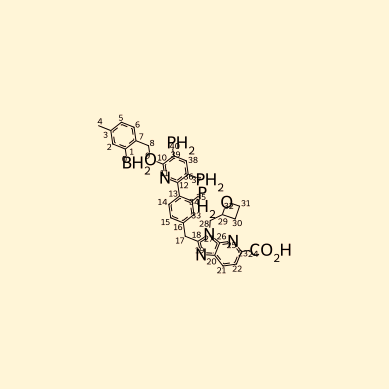 Bc1cc(C)ccc1COc1nc(-c2ccc(Cc3nc4ccc(C(=O)O)nc4n3CC3CCO3)cc2P)c(P)cc1P